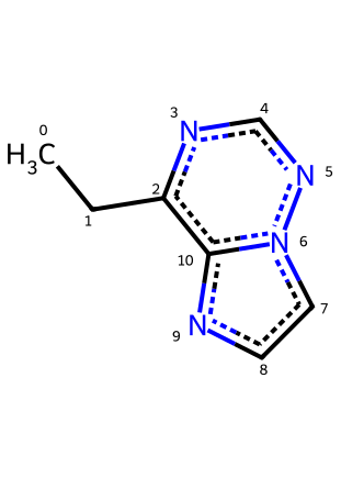 CCc1ncnn2ccnc12